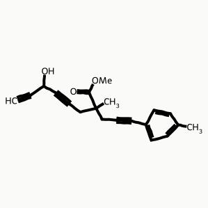 C#CC(O)C#CCC(C)(CC#Cc1ccc(C)cc1)C(=O)OC